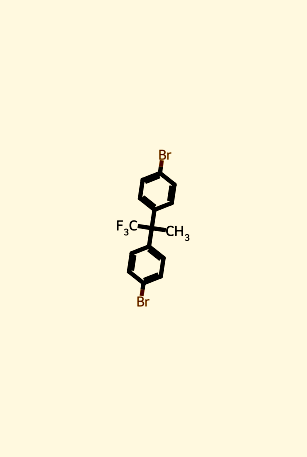 CC(c1ccc(Br)cc1)(c1ccc(Br)cc1)C(F)(F)F